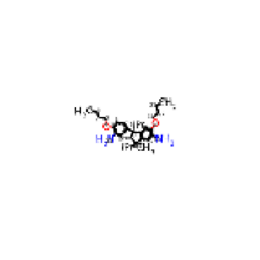 C=CCCOc1ccc(C2(C(C)C)CC(C)(C(C)C)c3cc(N)c(OCCC=C)cc32)cc1N